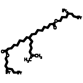 CC(C)CCC(CCCOC(=O)CCCCCCCC(CCCCCCCC(=O)OCCCC(CCC(C)C)C(C)C)CCCCN(C)C)C(C)C